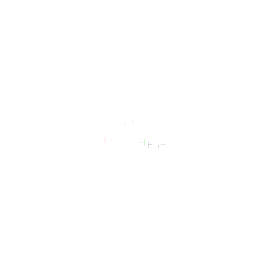 Cl.O.[BaH2].[CaH2]